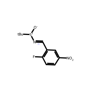 CC(C)(C)[S+]([O-])/N=C/c1cc([N+](=O)[O-])ccc1F